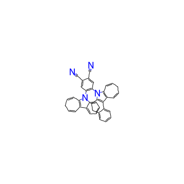 N#Cc1cc(-n2c3c(c4c2CCc2ccccc2-4)C=CCC=C3)c(-n2c3c(c4ccccc42)C=CCC=C3)cc1C#N